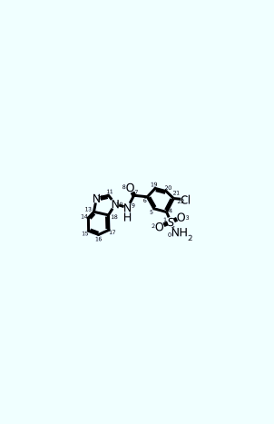 NS(=O)(=O)c1cc(C(=O)Nn2cnc3ccccc32)ccc1Cl